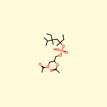 CCC(C)(CC(C)(CC)C(C)C)OP(=O)(O)OCC(COC(C)=O)OC(C)=O